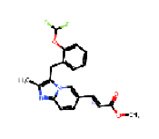 COC(=O)/C=C/c1ccc2nc(C)c(Cc3ccccc3OC(F)F)n2c1